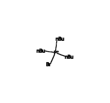 CCCC[P+](Br)(CCCC)CCCC